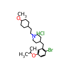 COC1CCC(CCN2CCC(Cc3cc(OC(C)C)ccc3Br)CC2)CC1.Cl